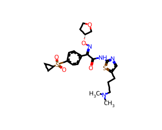 CN(C)CCCc1cnc(NC(=O)/C(=N/O[C@@H]2CCOC2)c2ccc(S(=O)(=O)C3CC3)cc2)s1